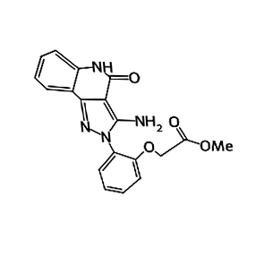 COC(=O)COc1ccccc1-n1nc2c(c1N)c(=O)[nH]c1ccccc12